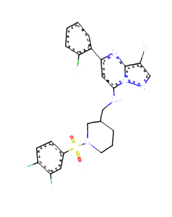 O=S(=O)(c1ccc(F)c(F)c1)N1CCCC(CNc2cc(-c3ccccc3Cl)nc3c(Br)cnn23)C1